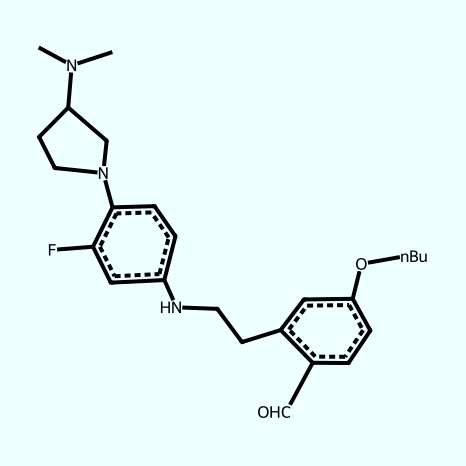 CCCCOc1ccc(C=O)c(CCNc2ccc(N3CCC(N(C)C)C3)c(F)c2)c1